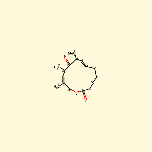 CO[C@H]1/C=C/CCCCC(=O)OC/C(C)=C\C(C)C1=O